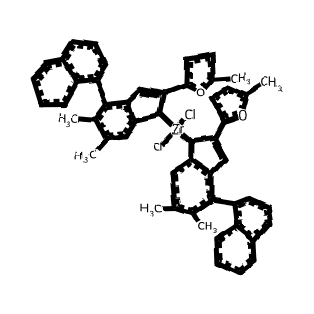 Cc1ccc(C2=Cc3c(cc(C)c(C)c3-c3cccc4ccccc34)[CH]2[Zr]([Cl])([Cl])[CH]2C(c3ccc(C)o3)=Cc3c2cc(C)c(C)c3-c2cccc3ccccc23)o1